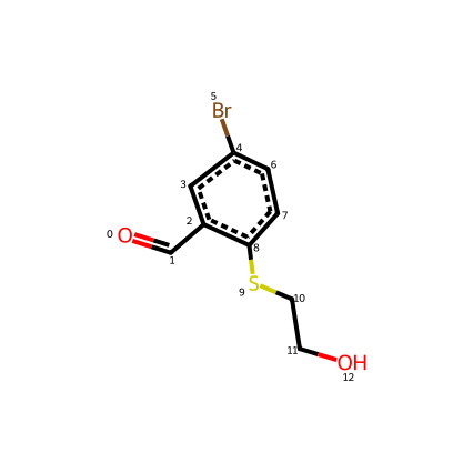 O=Cc1cc(Br)ccc1SCCO